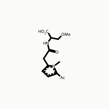 COCC(NC(=O)Cc1ccc(C(C)=O)n1C)C(=O)O